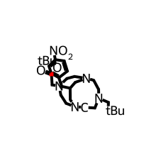 CC(C)(C)CN1CCN2CCN(CC(=O)OC(C)(C)C)CCN(CC1)CC(Cc1ccc([N+](=O)[O-])cc1)C2